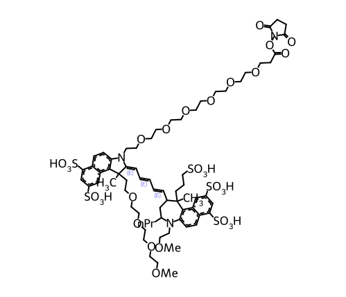 CCCC1CC(/C=C/C=C/C=C2/N(CCOCCOCCOCCOCCOCCOCCC(=O)ON3C(=O)CCC3=O)c3ccc4c(S(=O)(=O)O)cc(S(=O)(=O)O)cc4c3C2(C)CCOCCOCCOCCOC)C(C)(CCCS(=O)(=O)O)c2c(ccc3c(S(=O)(=O)O)cc(S(=O)(=O)O)cc23)N1CCOC